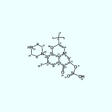 CC(C)(C)C1=Cn2cc(OC(=O)O)c(=O)c3cc(F)c(N4CCNCC4)c(c32)O1